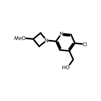 COC1CN(c2cc(CO)c(Cl)cn2)C1